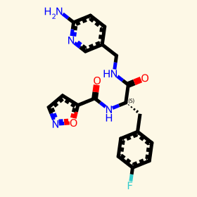 Nc1ccc(CNC(=O)[C@H](Cc2ccc(F)cc2)NC(=O)c2ccno2)cn1